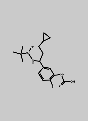 CC(C)(C)[S+]([O-])NC(CCC1CC1)c1ccc(F)c(NC(=O)O)c1